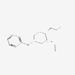 CO[C@H]1CN(Cc2ccccc2)CC[C@H]1CCO